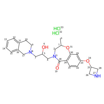 CC1CN(CC(O)CN2CCc3ccccc3C2)C(=O)c2ccc(OC3CNC3)cc2O1.Cl.Cl